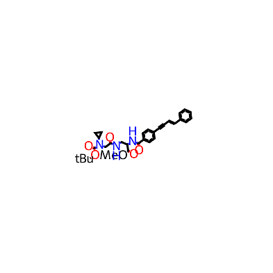 COC(=O)C(CNC(=O)CN(C(=O)OC(C)(C)C)C1CC1)NC(=O)c1ccc(C#CC=Cc2ccccc2)cc1